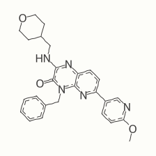 COc1ccc(-c2ccc3nc(NCC4CCOCC4)c(=O)n(Cc4ccccc4)c3n2)cn1